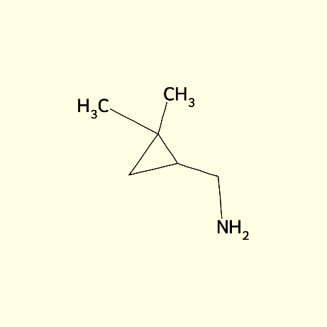 CC1(C)CC1CN